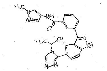 CC(C)n1cnnc1-c1ccc2[nH]nc(-c3cccc(C(=O)Nc4cnn(C)c4)c3)c2c1